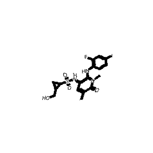 Cc1cc(NS(=O)(=O)C2CC2CO)c(Nc2ccc(I)cc2F)n(C)c1=O